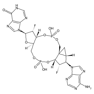 Nc1ncnc2c1ncn2[C@H]1[C@H](F)[C@@H]2OP(=O)(O)OC[C@H]3O[C@@H](n4cnc5c(=O)[nH]cnc54)[C@H](F)[C@@H]3OP(=O)(O)OC[C@]23C[C@H]13